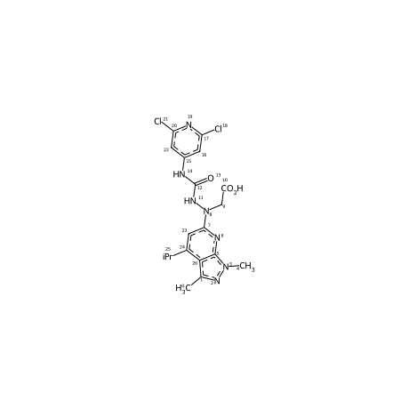 Cc1nn(C)c2nc(N(CC(=O)O)NC(=O)Nc3cc(Cl)nc(Cl)c3)cc(C(C)C)c12